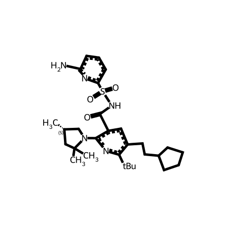 C[C@@H]1CN(c2nc(C(C)(C)C)c(CCC3CCCC3)cc2C(=O)NS(=O)(=O)c2cccc(N)n2)C(C)(C)C1